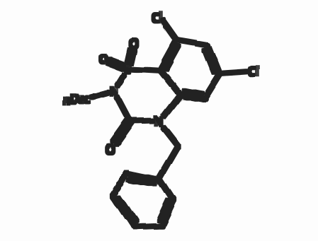 CCCCCCCCCCN1C(=O)N(Cc2ccccc2)c2cc(Cl)cc(Cl)c2S1(=O)=O